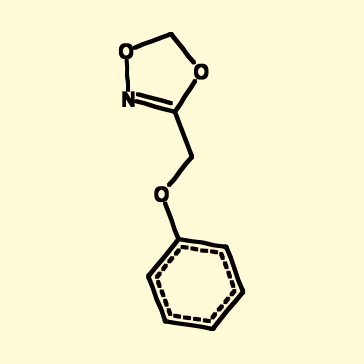 c1ccc(OCC2=NOCO2)cc1